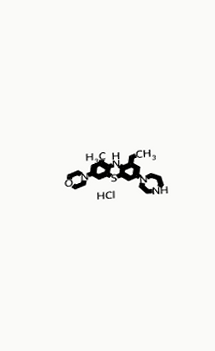 CCc1cc(N2CCCNCC2)cc2c1Nc1c(C)cc(N3CCOCC3)cc1S2.Cl